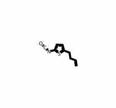 C=CCCc1ccc(N=C=O)s1